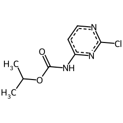 CC(C)OC(=O)Nc1ccnc(Cl)n1